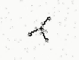 CCC(COC(=O)CCCCC1CCSS1)(COC(=O)CCCCC1CCSS1)COC(=O)CCCCC1CCSS1